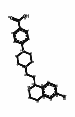 O=C(O)c1ccc(N2CCN(CC[C@@H]3OCCc4cc(Br)ccc43)CC2)cc1